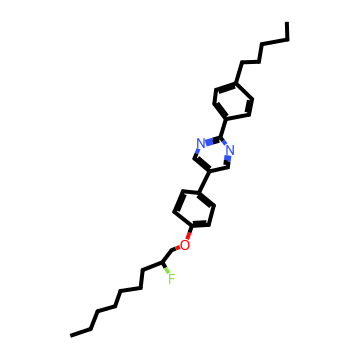 CCCCCCCC(F)COc1ccc(-c2cnc(-c3ccc(CCCCC)cc3)nc2)cc1